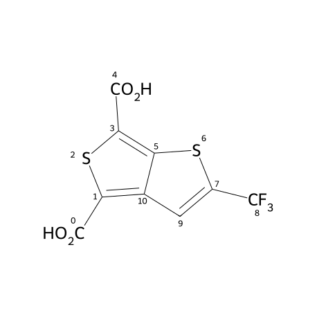 O=C(O)c1sc(C(=O)O)c2sc(C(F)(F)F)cc12